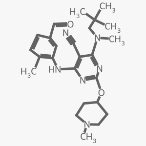 Cc1ccc(C=O)cc1Nc1nc(OC2CCN(C)CC2)nc(N(C)CC(C)(C)C)c1C#N